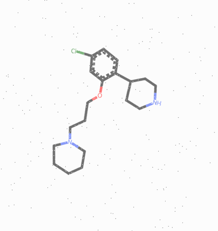 Clc1ccc(C2CCNCC2)c(OCCCN2CCCCC2)c1